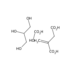 C=C(CC(=O)O)C(=O)O.O=C(O)O.OCC(O)CO